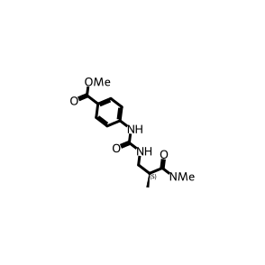 CNC(=O)[C@@H](C)CNC(=O)Nc1ccc(C(=O)OC)cc1